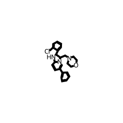 Clc1ccccc1C1NC2C=CC(c3ccccc3)=CN2C1CN1CCOCC1